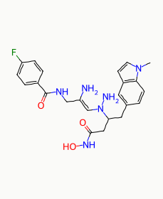 Cn1ccc2cc(CC(CC(=O)NO)N(N)/C=C(\N)CNC(=O)c3ccc(F)cc3)ccc21